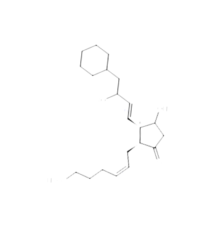 O=C(O)CCC/C=C\C[C@@H]1C(=O)CC(O)[C@@H]1/C=C/C(O)CC1CCCCC1